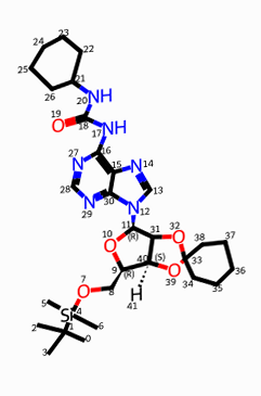 CC(C)(C)[Si](C)(C)OC[C@H]1O[C@@H](n2cnc3c(NC(=O)NC4CCCCC4)ncnc32)C2OC3(CCCCC3)O[C@H]21